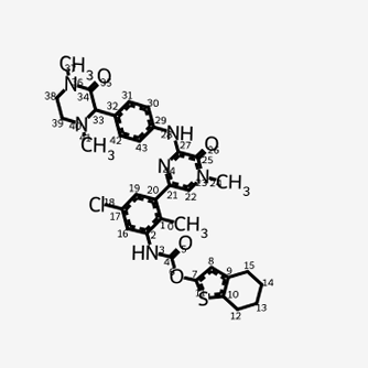 Cc1c(NC(=O)Oc2cc3c(s2)CCCC3)cc(Cl)cc1-c1cn(C)c(=O)c(Nc2ccc(C3C(=O)N(C)CCN3C)cc2)n1